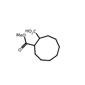 COC(=O)C1CCCCCCCC1C(=O)O